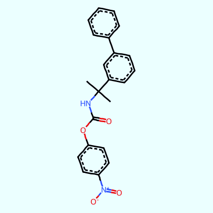 CC(C)(NC(=O)Oc1ccc([N+](=O)[O-])cc1)c1cccc(-c2ccccc2)c1